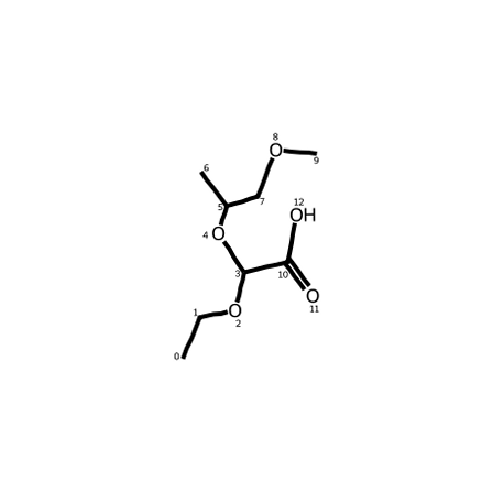 CCOC(OC(C)COC)C(=O)O